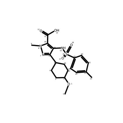 COC1CCC(c2nn(C)c(C(=O)O)c2NS(=O)(=O)c2ccc(C)cc2)CC1